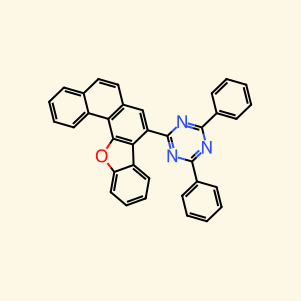 c1ccc(-c2nc(-c3ccccc3)nc(-c3cc4ccc5ccccc5c4c4oc5ccccc5c34)n2)cc1